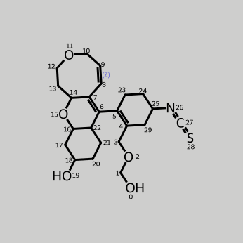 OCOCC1=C(C2=C3/C=C\COCCC3OC3CC(O)CCC23)CCC(N=C=S)C1